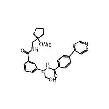 COC1(CNC(=O)c2cccc([C@@H](CO)NC(=O)c3ccc(-c4ccncc4)cc3)c2)CCCC1